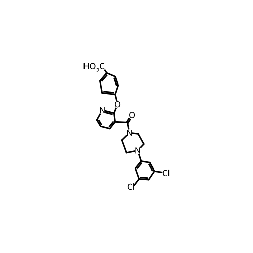 O=C(O)c1ccc(Oc2ncccc2C(=O)N2CCN(c3cc(Cl)cc(Cl)c3)CC2)cc1